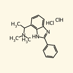 CC(c1cccc2nc(-c3ccccc3)[nH]c12)N(C)C.Cl.Cl